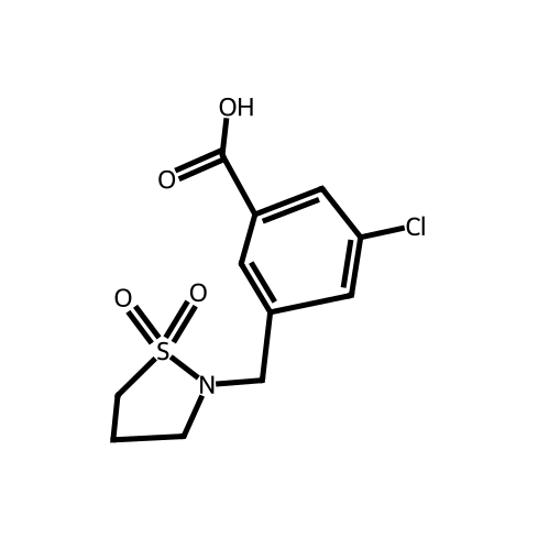 O=C(O)c1cc(Cl)cc(CN2CCCS2(=O)=O)c1